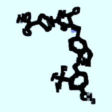 Cc1ccc(Cn2ncc3cc(/C=C4\SC(N5CC(C(=O)O)C5)=NC4=O)ccc32)c(C(F)(F)F)c1